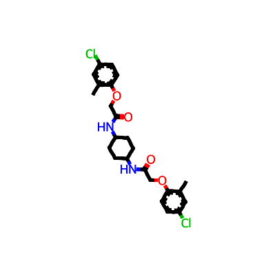 Cc1cc(Cl)ccc1OCC(=O)NC1CCC(NC(=O)COc2ccc(Cl)cc2C)CC1